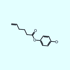 C=CCCCC(=O)Oc1ccc([O])cc1